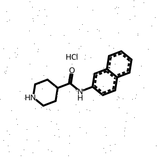 Cl.O=C(Nc1ccc2ccccc2c1)C1CCNCC1